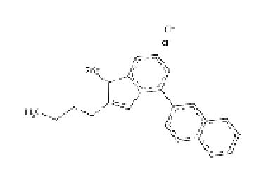 CCCCC1=Cc2c(-c3ccc4ccccc4c3)cccc2[CH]1[Zr+2].[Cl-].[Cl-]